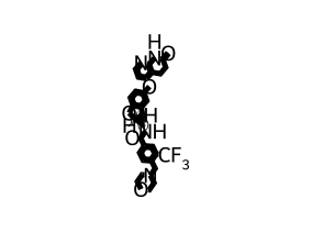 O=C1CCc2c(Oc3ccc4c(c3)[C@H]3[C@H](NC(=O)c5ccc(CN6CCOCC6)c(C(F)(F)F)c5)[C@H]3O4)ccnc2N1